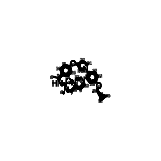 C[C@H](NC(=O)N(C)Cc1ccncn1)c1ccc(OC2CCN(c3ccc(OCC4CC4)cc3)C2)cc1